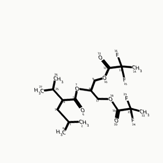 CC(C)CC(C(=O)OC(COC(=O)C(C)(F)F)COC(=O)C(C)(F)F)C(C)C